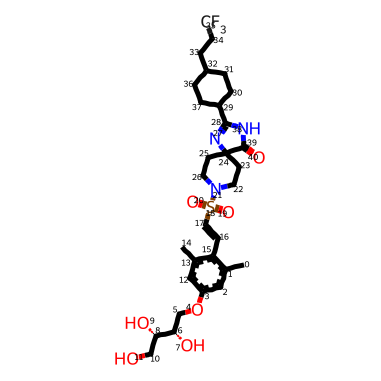 Cc1cc(OC[C@H](O)[C@@H](O)CO)cc(C)c1/C=C/S(=O)(=O)N1CCC2(CC1)N=C(C1CCC(CCC(F)(F)F)CC1)NC2=O